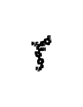 C/C(=N/C(=N)c1nc(-c2ccc(OC(F)(F)F)cc2)cs1)NCc1ccnc(Cl)c1